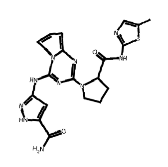 Cc1cnc(NC(=O)C2CCCN2c2nc(Nc3cc(C(N)=O)[nH]n3)n3cccc3n2)s1